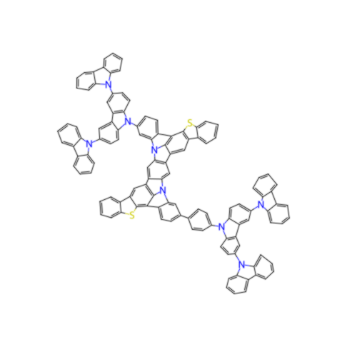 c1ccc2c(c1)sc1c2cc2c3cc4c(cc3n3c5cc(-c6ccc(-n7c8ccc(-n9c%10ccccc%10c%10ccccc%109)cc8c8cc(-n9c%10ccccc%10c%10ccccc%109)ccc87)cc6)ccc5c1c23)c1cc2c3ccccc3sc2c2c3ccc(-n5c6ccc(-n7c8ccccc8c8ccccc87)cc6c6cc(-n7c8ccccc8c8ccccc87)ccc65)cc3n4c12